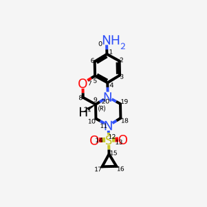 Nc1ccc2c(c1)OC[C@H]1CN(S(=O)(=O)C3CC3)CCN21